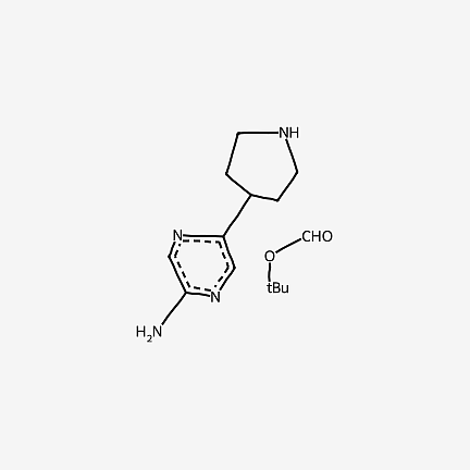 CC(C)(C)OC=O.Nc1cnc(C2CCNCC2)cn1